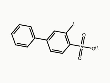 O=S(=O)(O)c1ccc(-c2ccccc2)cc1I